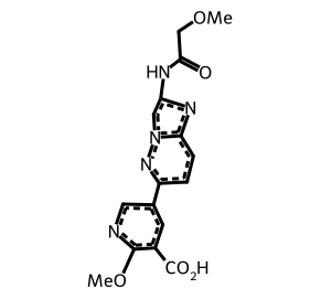 COCC(=O)Nc1cn2nc(-c3cnc(OC)c(C(=O)O)c3)ccc2n1